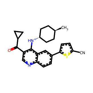 C[C@H]1CC[C@H](Nc2c(C(=O)C3CC3)cnc3ccc(-c4ccc(C#N)s4)cc23)CC1